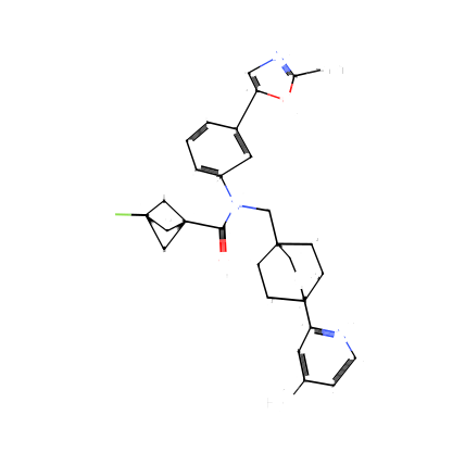 CCCc1ncc(-c2cccc(N(CC34CCC(c5cc(C(F)(F)F)ccn5)(CC3)CC4)C(=O)C34CC(F)(C3)C4)c2)o1